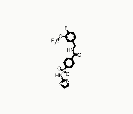 O=C(NCc1ccc(F)c(OC(F)(F)F)c1)c1ccc(S(=O)(=O)Nc2nccs2)cc1